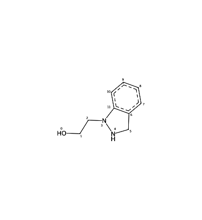 OCCN1NCc2cc[c]cc21